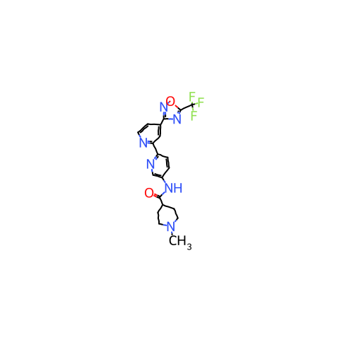 CN1CCC(C(=O)Nc2ccc(-c3cc(-c4noc(C(F)(F)F)n4)ccn3)nc2)CC1